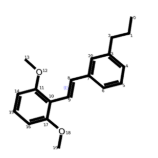 CCCc1cccc(/C=C/c2c(OC)cccc2OC)c1